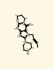 CC#CCn1c(N2CCNCC2)nc2nc3n(c(=O)c21)CCCO3